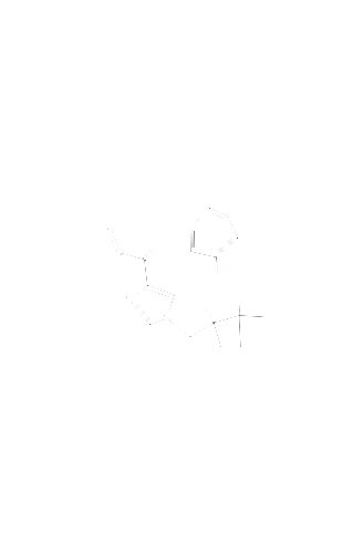 CC1(C)OB(c2ccccc2)OC1(C)Cn1cnc(C(=O)N=N)c1